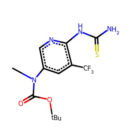 CN(C(=O)OC(C)(C)C)c1cnc(NC(N)=S)c(C(F)(F)F)c1